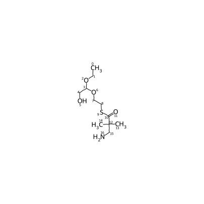 CCOC(CO)OCCSC(=O)C(C)(C)CN